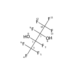 OC(F)(C(F)(F)F)C(O)(F)C(F)(F)F